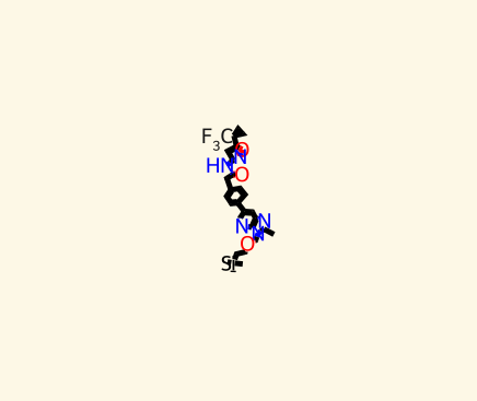 Cc1nc2cc(-c3ccc(CC(=O)Nc4cc(C5(C(F)(F)F)CC5)on4)cc3)cnc2n1COCC[Si](C)(C)C